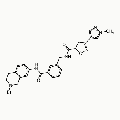 CCN1CCc2ccc(NC(=O)c3cccc(CNC(=O)C4CC(c5cnn(C)c5)=NO4)c3)cc2C1